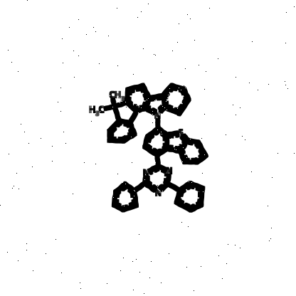 CC1(C)c2ccccc2-c2c1ccc1c3ccccc3n(-c3ccc(-c4nc(-c5ccccc5)nc(-c5ccccc5)n4)c4c3sc3ccccc34)c21